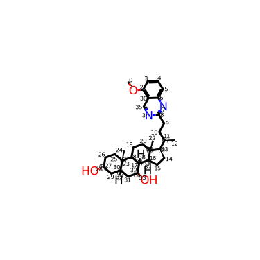 COc1cccc2nc(CC[C@@H](C)[C@H]3CC[C@H]4[C@H]5C(CC[C@]34C)[C@@]3(C)CC[C@@H](O)C[C@H]3C[C@@H]5O)ncc12